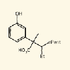 CCCCCC(CC)C(C)(C(=O)O)c1cccc(O)c1